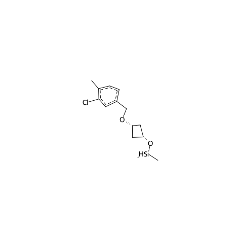 Cc1ccc(CO[C@H]2C[C@@H](O[SiH](C)C)C2)cc1Cl